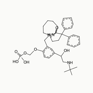 CC(C)(C)NCC(O)c1ccc(OCOP(=O)(O)O)c(C[N+]2(CCC(C(N)=O)(c3ccccc3)c3ccccc3)CCCCCC2)c1